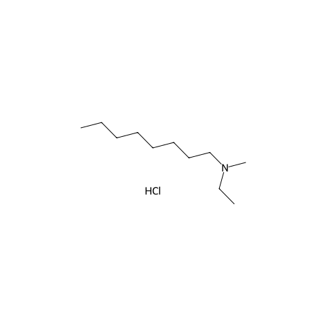 CCCCCCCCN(C)CC.Cl